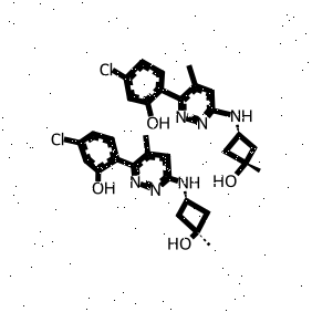 Cc1cc(N[C@H]2C[C@@](C)(O)C2)nnc1-c1ccc(Cl)cc1O.Cc1cc(N[C@H]2C[C@](C)(O)C2)nnc1-c1ccc(Cl)cc1O